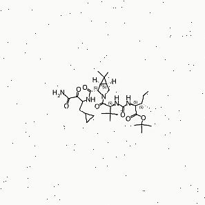 CC[C@H](C)[C@H](NC(=O)N[C@H](C(=O)N1C[C@H]2[C@@H]([C@H]1C(=O)NC(CC1CC1)C(=O)C(N)=O)C2(C)C)C(C)(C)C)C(=O)OC(C)(C)C